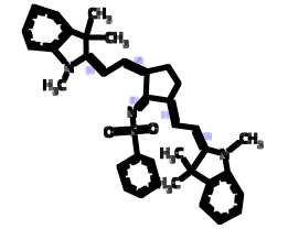 CN1/C(=C/C=C2/CCC(=C\C=C3\N(C)c4ccccc4C3(C)C)/C2=N\S(=O)(=O)c2ccccc2)C(C)(C)c2ccccc21